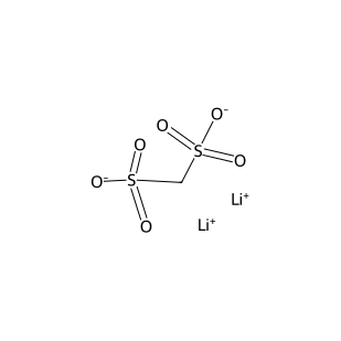 O=S(=O)([O-])CS(=O)(=O)[O-].[Li+].[Li+]